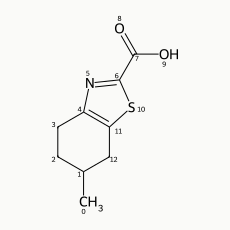 CC1CCc2nc(C(=O)O)sc2C1